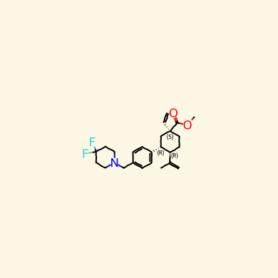 C=C[C@]1(C(=O)OC)CC[C@@H](C(=C)C)[C@H](c2ccc(CN3CCC(F)(F)CC3)cc2)C1